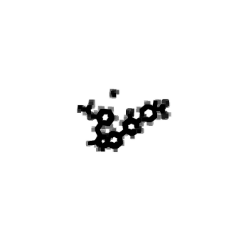 Cc1nc2ccc(-c3cnc(N4CCC(C)(C(=O)[O-])CC4)c(Cl)c3)cn2c1Cc1ccccc1OC(F)F.[K+]